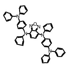 c1ccc(N(c2ccccc2)c2ccc(N(c3ccccc3)c3ccc(N(c4ccccc4)c4ccc(N(c5ccccc5)c5ccccc5)cc4)c4nonc34)cc2)cc1